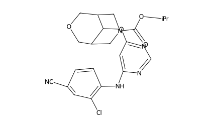 CC(C)OC(=O)N1CC2COCC(C1)C2Oc1cc(Nc2ccc(C#N)cc2Cl)ncn1